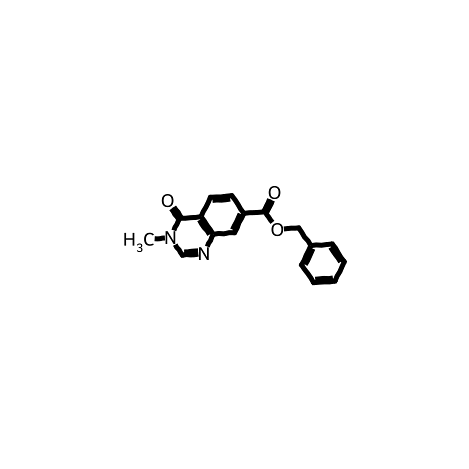 Cn1cnc2cc(C(=O)OCc3ccccc3)ccc2c1=O